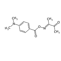 CC(=O)/C(C)=N/OC(=O)c1ccc(N(C)C)cc1